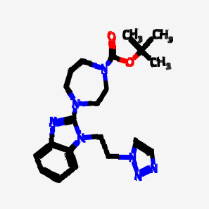 CC(C)(C)OC(=O)N1CCCN(c2nc3ccccc3n2CCn2ccnn2)CC1